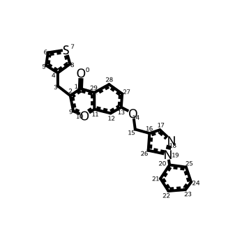 O=c1c(Cc2ccsc2)coc2cc(OCc3cnn(-c4ccccc4)c3)ccc12